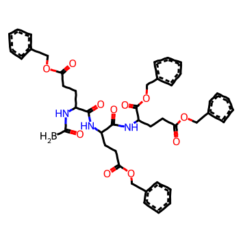 BC(=O)NC(CCC(=O)OCc1ccccc1)C(=O)NC(CCC(=O)OCc1ccccc1)C(=O)NC(CCC(=O)OCc1ccccc1)C(=O)OCc1ccccc1